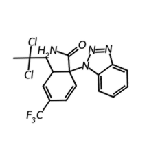 CC(Cl)(Cl)CC1C=C(C(F)(F)F)C=CC1(C(N)=O)n1nnc2ccccc21